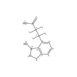 C=C(O)C(C)(C)C(C)(C)c1cccc2c1B(O)OC2